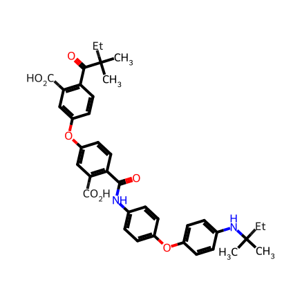 CCC(C)(C)Nc1ccc(Oc2ccc(NC(=O)c3ccc(Oc4ccc(C(=O)C(C)(C)CC)c(C(=O)O)c4)cc3C(=O)O)cc2)cc1